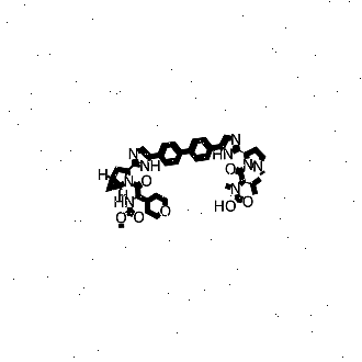 COC(=O)N[C@H](C(=O)N1[C@@H]2C[C@@H]2C[C@H]1c1ncc(-c2ccc(-c3ccc(-c4cnc([C@@H]5CCN(C)N5C(=O)[C@H](C(C)C)N(C)C(=O)O)[nH]4)cc3)cc2)[nH]1)C1CCOCC1